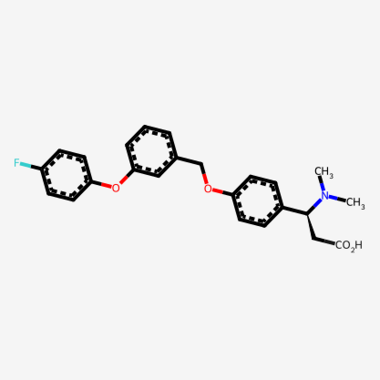 CN(C)[C@@H](CC(=O)O)c1ccc(OCc2cccc(Oc3ccc(F)cc3)c2)cc1